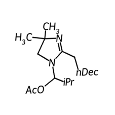 CCCCCCCCCCCC1=NC(C)(C)CN1C(OC(C)=O)C(C)C